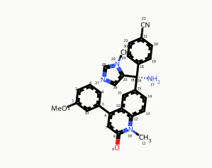 COc1cccc(-c2cc(=O)n(C)c3ccc([C@](N)(c4ccc(C#N)cc4)c4cncn4C)cc23)c1